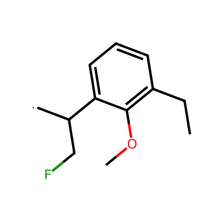 [CH2]C(CF)c1cccc(CC)c1OC